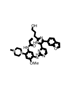 C=CC(=O)Nc1cc(Nc2nccc(-c3[nH]c(CCCO)nc3-c3ccc4ccoc4c3)n2)c(OC)cc1N1CCN(C)CC1